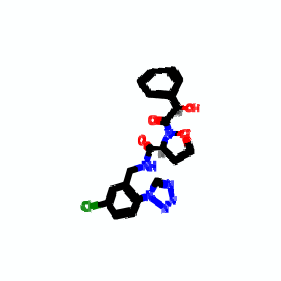 O=C(NCc1cc(Cl)ccc1-n1cnnn1)[C@@H]1CCON1C(=O)[C@H](O)c1ccccc1